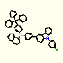 Fc1ccc(-n2c3ccccc3c3cc(-c4ccc(N(c5ccc(C(c6ccccc6)(c6ccccc6)c6ccccc6)cc5)c5cccc6ccccc56)cc4)ccc32)cc1